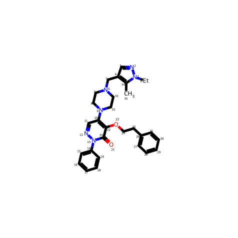 CCn1ncc(CN2CCN(c3cnn(-c4ccccc4)c(=O)c3OCCc3ccccc3)CC2)c1C